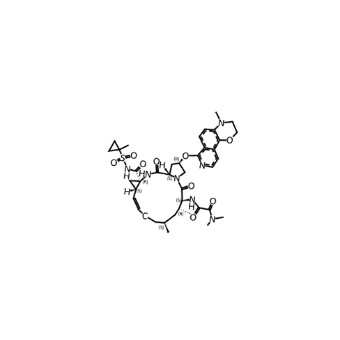 C[C@H]1CCC=C[C@@H]2C[C@@]2(C(=O)NS(=O)(=O)C2(C)CC2)NC(=O)[C@@H]2C[C@@H](Oc3nccc4c5c(ccc34)N(C)CCO5)CN2C(=O)[C@@H](NC(=O)C(=O)N(C)C)[C@H](C)C1